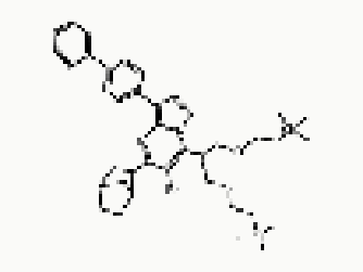 C[Si](C)(C)CCOCN(COCC[Si](C)(C)C)c1c(Br)c(C2CC3CCC2C3)nc2c(-c3ccc(-c4ccccc4)nc3)cnn12